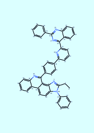 CCc1nc2c3c(-c4ccc(-c5cccc(-c6nc(-c7ccccc7)nc7ccccc67)n5)cc4)nc4ccccc4c3ccc2n1-c1ccccc1